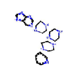 C1CNCCN1.C1CNCCN1.C1CNCCN1.c1ccncc1.c1ncc2[nH]cnc2n1